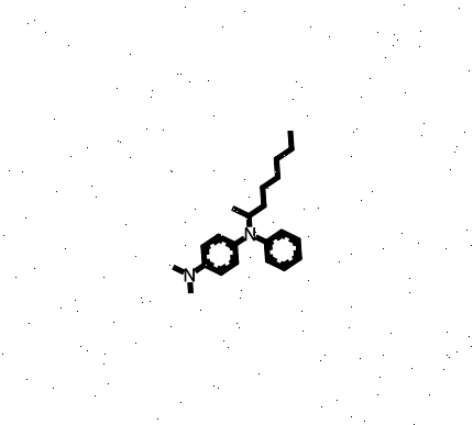 CCCCCCC(C)N(c1ccccc1)c1ccc(N(C)C)cc1